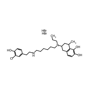 Br.Br.CCCN(CCCCCCNCCc1ccc(O)c(Cl)c1)C1Cc2ccc(O)c(O)c2C(C)C1